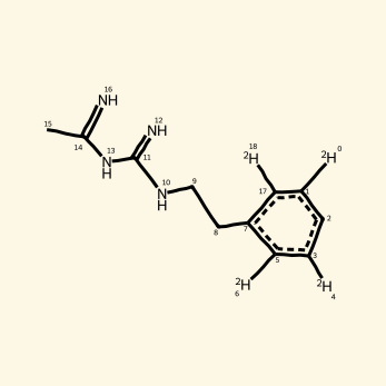 [2H]c1cc([2H])c([2H])c(CCNC(=N)NC(C)=N)c1[2H]